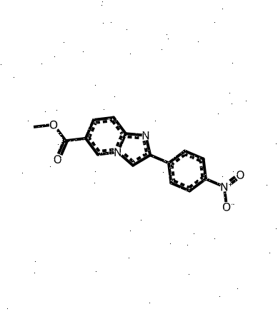 COC(=O)c1ccc2nc(-c3ccc([N+](=O)[O-])cc3)cn2c1